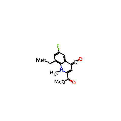 CNCc1cc(F)cc2c1N(C)C(C(=O)OC)=CC2=C=O